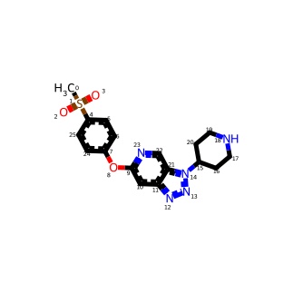 CS(=O)(=O)c1ccc(Oc2cc3nnn(C4CCNCC4)c3cn2)cc1